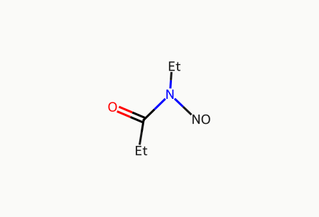 CCC(=O)N(CC)N=O